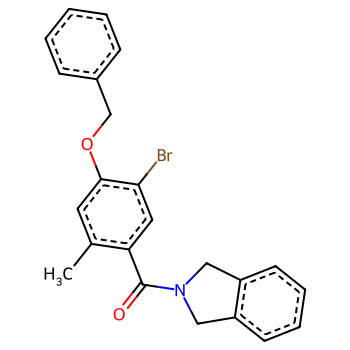 Cc1cc(OCc2ccccc2)c(Br)cc1C(=O)N1Cc2ccccc2C1